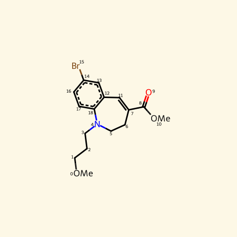 COCCCN1CCC(C(=O)OC)=Cc2cc(Br)ccc21